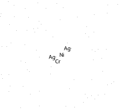 [Ag].[Ag].[Cr].[Ni]